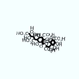 O=C(OC(C(=O)O)C(O)c1c(O)c(O)c(C(=O)O)c(S)c1O)C1=C(O)C(C(=O)O)C(O)C(C(C(=O)O)C(O)C(O)C(O)C(=O)O)C1O